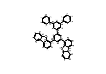 C1=CC2Sc3c(-c4cc(-c5cc(-c6ccccc6)cc(-c6ccccc6)c5)cc(-c5cccc6c5oc5ccccc56)c4)cccc3C2C=C1